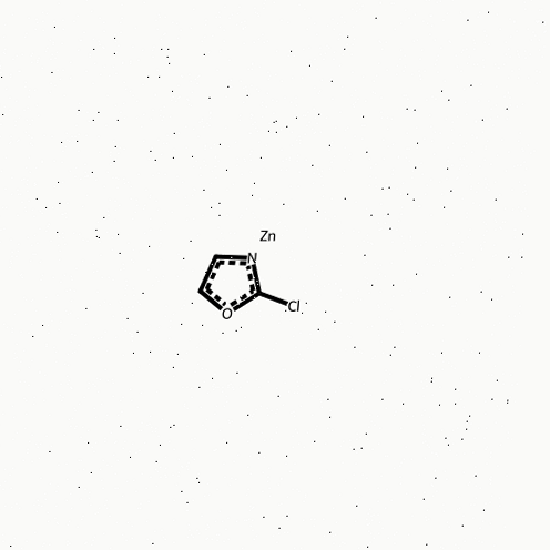 Clc1ncco1.[Zn]